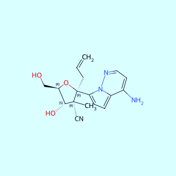 C=CC[C@@]1(c2ccc3c(N)ccnn23)O[C@H](CO)[C@@H](O)[C@@]1(C)C#N